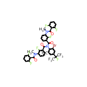 CN(C(=O)c1c(F)cccc1F)c1cccc(C(=O)N(C(=O)c2cccc(N(C)C(=O)c3c(F)cccc3F)c2F)c2c(Br)cc(C(F)(C(F)(F)F)C(F)(F)F)cc2C(F)(F)F)c1F